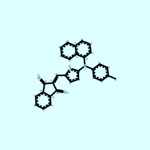 Cc1ccc(N(c2ccc(C=C3C(=O)c4ccccc4C3=O)s2)c2cccc3ccccc23)cc1